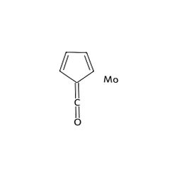 O=C=C1C=CC=C1.[Mo]